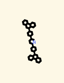 c1ccc2c(c1)cc(-c1ccc(-c3ccc(-c4ccc(-c5cc6ccccc6c6ccccc56)cc4)nc3)cc1)c1ccccc12